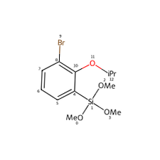 CO[Si](OC)(OC)c1cccc(Br)c1OC(C)C